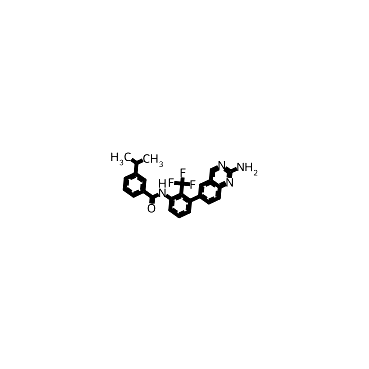 CC(C)c1cccc(C(=O)Nc2cccc(-c3ccc4nc(N)ncc4c3)c2C(F)(F)F)c1